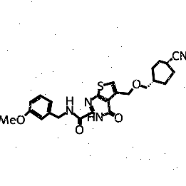 COc1cccc(CNC(=O)c2nc3scc(COC[C@H]4CC[C@H](C#N)CC4)c3c(=O)[nH]2)c1